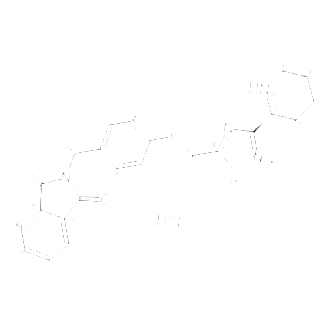 Cl.O=C1c2ccccc2C(=O)N1Cc1ccc(OCc2nc([C@@H]3CCCCN3)no2)cc1